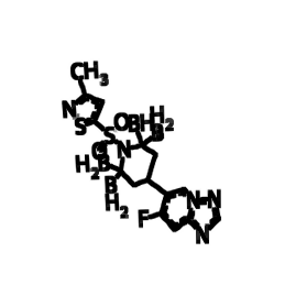 BC1(B)CC(c2cn3ncnc3cc2F)CC(B)(B)N1S(=O)(=O)c1cc(C)ns1